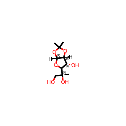 CC1(C)O[C@H]2OC([C@](C)(O)CO)[C@@H](O)[C@H]2O1